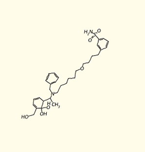 CC(C1C=CC=C(CO)C1(O)O)N(CCCCCCOCCCCc1cccc(S(N)(=O)=O)c1)Cc1ccccc1